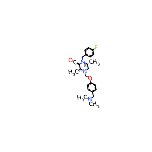 C[C@@H]1CN(COc2ccc(CN(C)C)cc2)[C@@H](C)C(=C=O)N1Cc1ccc(F)cc1